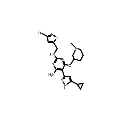 CC(C)c1cc(CNc2nc(N)c(-c3cc(C4CC4)[nH]n3)c(OC3CCCN(C)C3)n2)on1